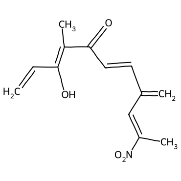 C=C/C(O)=C(\C)C(=O)/C=C/C(=C)/C=C(\C)[N+](=O)[O-]